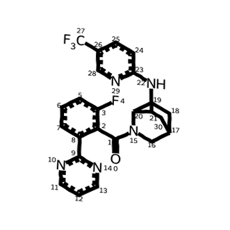 O=C(c1c(F)cccc1-c1ncccn1)N1CC2CCC1C(Nc1ccc(C(F)(F)F)cn1)C2